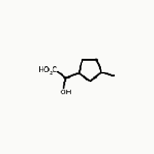 CC1CCC(C(O)C(=O)O)C1